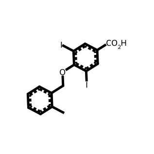 Cc1ccccc1COc1c(I)cc(C(=O)O)cc1I